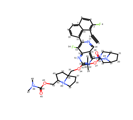 C#Cc1c(F)ccc2cccc(-c3ncc4c(N5CC6CCC(C5)N6C(=O)OC(C)(C)C)nc(OCC56CCCN5C(COC(=O)N(C)C)CC6)nc4c3F)c12